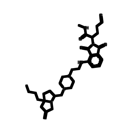 C=C1CN2C(CN3CCN(CCNc4cccc5c4C(=O)N(C(CCC=O)C(=O)NC)C5=O)CC3)CCC2(CCCC)C1